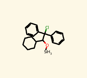 [SiH3]OC(C1CCCCC1)C(Cl)(c1ccccc1)c1ccccc1